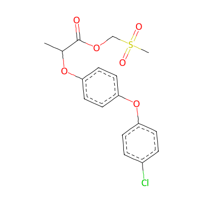 CC(Oc1ccc(Oc2ccc(Cl)cc2)cc1)C(=O)OCS(C)(=O)=O